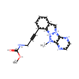 Cn1c2nccnc2n2cc3cccc(C#CCNC(=O)OC(C)(C)C)c3[n+]12